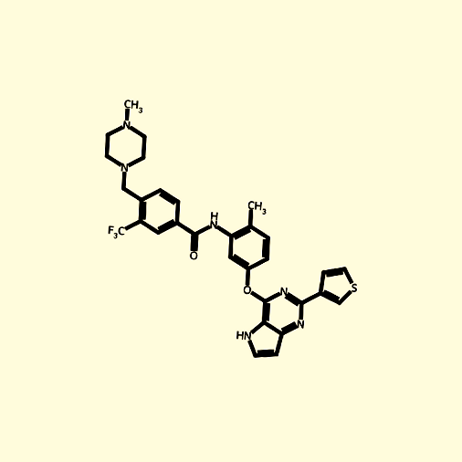 Cc1ccc(Oc2nc(-c3ccsc3)nc3cc[nH]c23)cc1NC(=O)c1ccc(CN2CCN(C)CC2)c(C(F)(F)F)c1